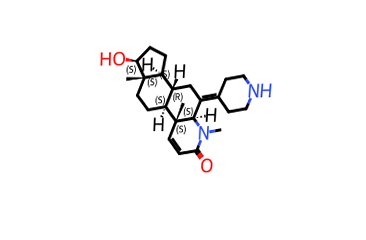 CN1C(=O)C=C[C@]2(C)[C@H]3CC[C@]4(C)[C@@H](O)CC[C@H]4[C@@H]3CC(=C3CCNCC3)[C@@H]12